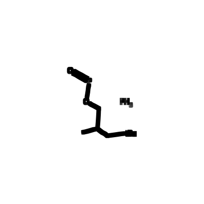 CC(COP=O)CC(C)(C)C.P